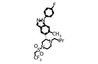 Cc1cc2c(cnn2-c2ccc(F)cc2)cc1[C@H]1CN(S(=O)(=O)CC(F)(F)F)CCN1CC(C)C